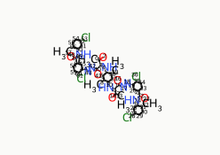 CC(=O)C(Nc1cc(C)c(NC(C(C)=O)C(=O)N=Nc2cc(C(=O)Nc3cc(Cl)ccc3C)ccc2Cl)cc1C)C(=O)N=Nc1cc(C(=O)Nc2cc(Cl)ccc2C)ccc1Cl